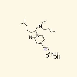 CCCCN(CC)CC1C(CCC(C)C)N=C2C=C(/C=C/C(=O)NO)C=CN21